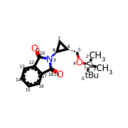 CC(C)(C)[Si](C)(C)OC[C@H]1C[C@@H]1N1C(=O)c2ccccc2C1=O